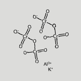 [Al+3].[K+].[O]=[Cr](=[O])([O-])[O][Cr](=[O])(=[O])[O-].[O]=[Cr](=[O])([O-])[O][Cr](=[O])(=[O])[O-]